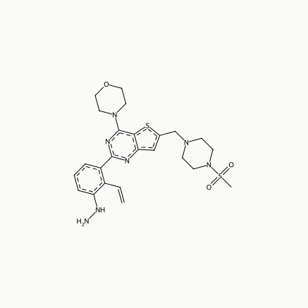 C=Cc1c(NN)cccc1-c1nc(N2CCOCC2)c2sc(CN3CCN(S(C)(=O)=O)CC3)cc2n1